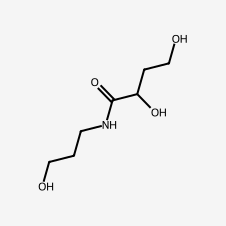 O=C(NCCCO)C(O)CCO